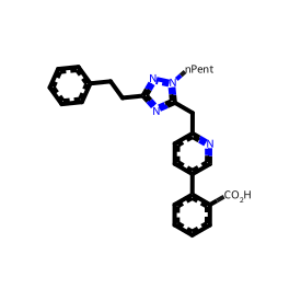 CCCCCn1nc(CCc2ccccc2)nc1Cc1ccc(-c2ccccc2C(=O)O)cn1